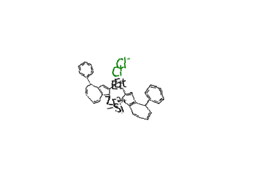 CCC1=CC2=C(C=CC=CC2c2ccccc2)[CH]1[Zr+2]([CH]1C(CC)=CC2=C1C=CC=CC2c1ccccc1)=[Si](C)C.[Cl-].[Cl-]